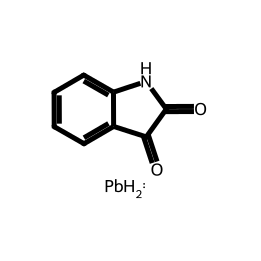 O=C1Nc2ccccc2C1=O.[PbH2]